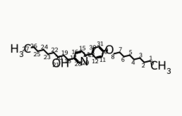 CCCCCCCCCOc1ccc(-c2ccc(CCC(O)CCCCCC)cn2)cc1